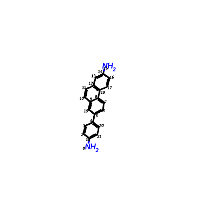 Nc1ccc(-c2ccc3c(ccc4cc(N)ccc43)c2)cc1